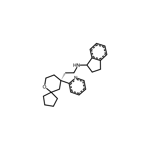 c1ccc([C@]2(CCNC3CCc4ccccc43)CCOC3(CCCC3)C2)nc1